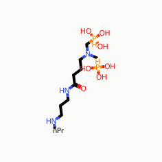 CCCNCCCNC(=O)CCCN(C[PH](O)(O)O)C[PH](O)(O)O